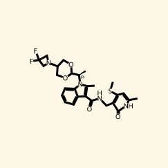 CSc1cc(C)[nH]c(=O)c1CNC(=O)c1c(C)n([C@H](C)C2OCC(N3CC(F)(F)C3)CO2)c2ccccc12